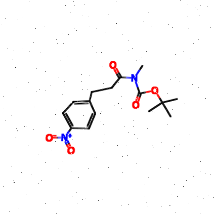 CN(C(=O)CCc1ccc([N+](=O)[O-])cc1)C(=O)OC(C)(C)C